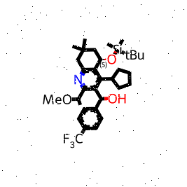 COC(C)c1nc2c(c(C3CCCC3)c1C(O)c1ccc(C(F)(F)F)cc1)[C@@H](O[Si](C)(C)C(C)(C)C)CC(C)(C)C2